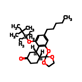 CCCCCc1cc2c(c(O[Si](C)(C)C(C)(C)C)c1)[C@H]1CC(=O)CC[C@H]1C1(OCCO1)O2